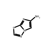 Nc1cn2ncsc2n1